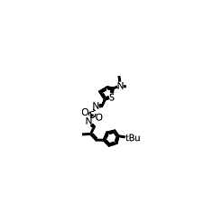 CC(C=NS(=O)(=O)N=Cc1ccc(N(C)C)s1)=Cc1ccc(C(C)(C)C)cc1